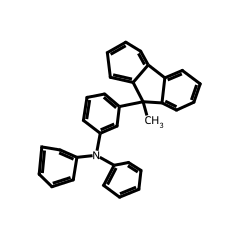 CC1(c2cccc(N(c3ccccc3)c3ccccc3)c2)c2ccccc2-c2ccccc21